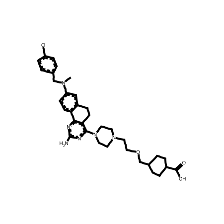 CN(Cc1ccc(Cl)cc1)c1ccc2c(c1)CCc1c-2nc(N)nc1N1CCN(CCOCC2CCC(C(=O)O)CC2)CC1